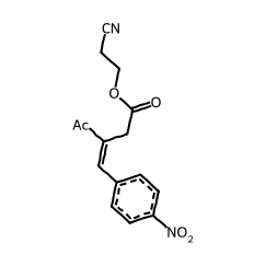 CC(=O)C(=Cc1ccc([N+](=O)[O-])cc1)CC(=O)OCCC#N